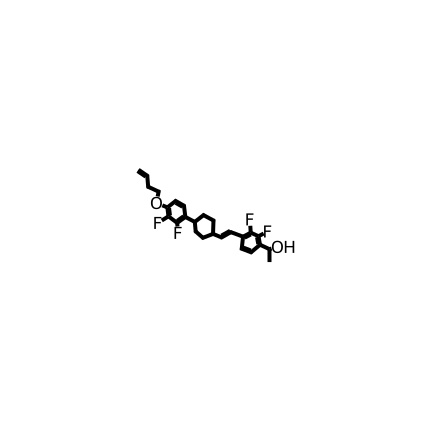 C=CCCOc1ccc(C2CCC(/C=C/c3ccc(C(C)O)c(F)c3F)CC2)c(F)c1F